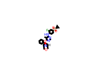 Cc1c(Nc2ccc(S(=O)(=O)C3CC3)cc2F)ncnc1O[C@@H]1CC2COC[C@@H](C1)N2Cc1ccccc1